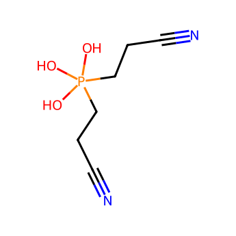 N#CCCP(O)(O)(O)CCC#N